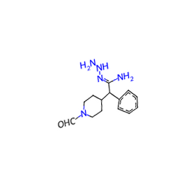 NN/N=C(\N)C(c1ccccc1)C1CCN(C=O)CC1